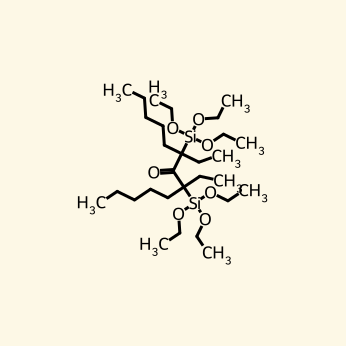 CCCCCC(CC)(C(=O)C(CC)(CCCCC)[Si](OCC)(OCC)OCC)[Si](OCC)(OCC)OCC